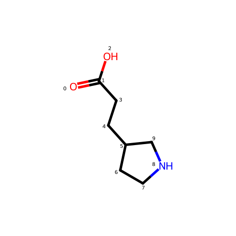 O=C(O)CCC1CCNC1